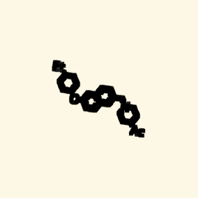 CC[C@H]1CC[C@@H](Oc2ccc3cc(CN4CCC(C(C)=O)CC4)ccc3c2)CC1